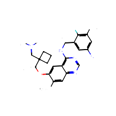 COc1cc2ncnc(N[C@H](C)c3cc(N)cc(C(F)(F)F)c3F)c2cc1O[C@H](C)C1(CN(C)C)CCC1